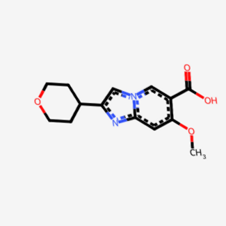 COc1cc2nc(C3CCOCC3)cn2cc1C(=O)O